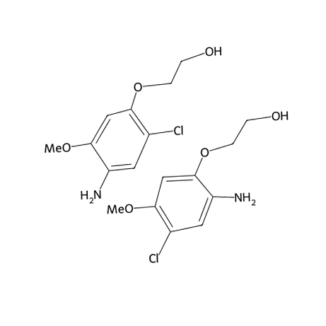 COc1cc(OCCO)c(Cl)cc1N.COc1cc(OCCO)c(N)cc1Cl